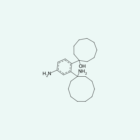 Nc1ccc(C2(O)CCCCCCCC2)c(C2(N)CCCCCCCCC2)c1